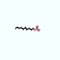 CCCCCCCCCCO[N+](=O)[O-]